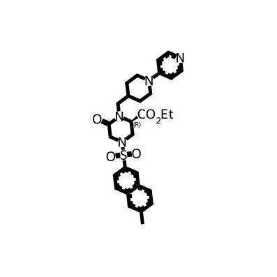 CCOC(=O)[C@H]1CN(S(=O)(=O)c2ccc3cc(C)ccc3c2)CC(=O)N1CC1CCN(c2ccncc2)CC1